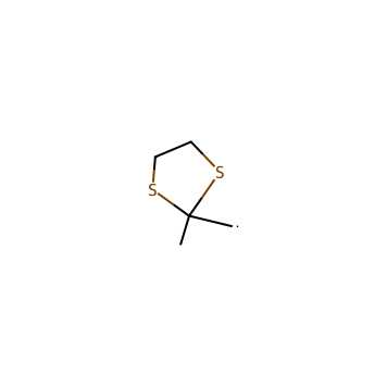 [CH2]C1(C)SCCS1